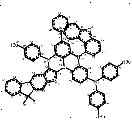 CC(C)(C)c1ccc(N(c2ccc(C(C)(C)C)cc2)c2ccc3c(c2)N(c2cccc4oc5ccccc5c24)c2cc(-c4ccccc4)cc4c2B3c2sc3cc5c(cc3c2N4c2ccc(C(C)(C)C)cc2)-c2ccccc2C5(C)C)cc1